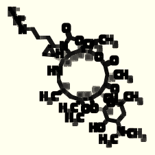 CC[C@H]1OC(=O)[C@H](C)C(=O)[C@H](C)[C@@H](O[C@@H]2OC(C)CC(N(C)C)C2O)[C@](C)(OC)C[C@@H](C)CN[C@H](C2CC2)[C@H]2N(CCCCN=[N+]=[N-])C(=O)O[C@]12C